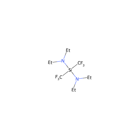 CCN(CC)[Si](N(CC)CC)(C(F)(F)F)C(F)(F)F